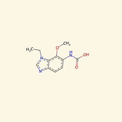 CCn1cnc2ccc(NC(=O)O)c(OC)c21